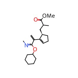 C=C(C1=CCC[C@@H]1CC(C)C(=O)OC)/C(=N\C)OC1CCCCC1